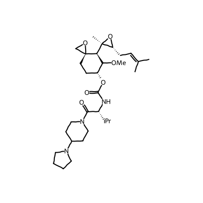 COC1[C@H](OC(=O)N[C@@H](C(=O)N2CCC(N3CCCC3)CC2)C(C)C)CC[C@]2(CO2)[C@H]1[C@@]1(C)O[C@@H]1CC=C(C)C